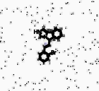 Brc1ccccc1/C=C/C1c2ccccc2C2=CNCN21